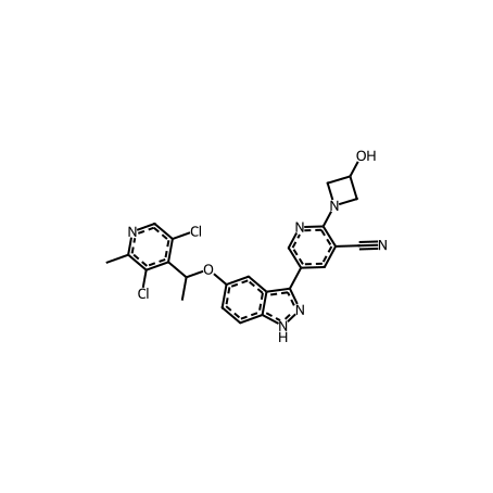 Cc1ncc(Cl)c(C(C)Oc2ccc3[nH]nc(-c4cnc(N5CC(O)C5)c(C#N)c4)c3c2)c1Cl